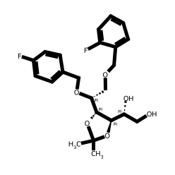 CC1(C)O[C@H]([C@H](O)CO)[C@@H]([C@@H](COCc2ccccc2F)OCc2ccc(F)cc2)O1